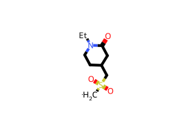 [CH2]S(=O)(=O)CC1CCN(CC)C(=O)C1